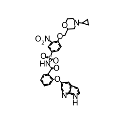 O=C(NS(=O)(=O)c1ccc(OCC2CN(C3CC3)CCO2)c([N+](=O)[O-])c1)c1ccccc1Oc1cnc2[nH]ccc2c1